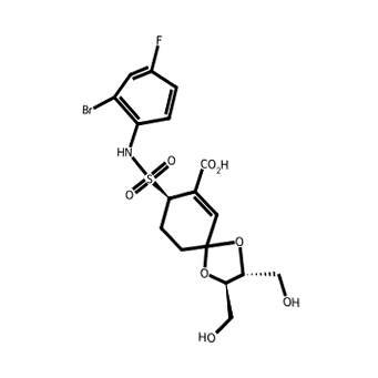 O=C(O)C1=CC2(CC[C@H]1S(=O)(=O)Nc1ccc(F)cc1Br)O[C@H](CO)[C@@H](CO)O2